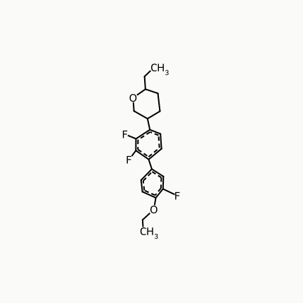 CCOc1ccc(-c2ccc(C3CCC(CC)OC3)c(F)c2F)cc1F